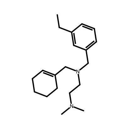 CCc1cccc(CN(CCN(C)C)CC2=CCCCC2)c1